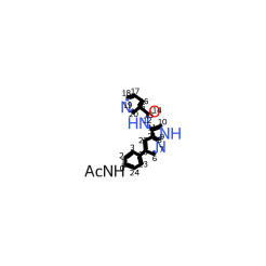 CC(=O)Nc1ccc(-c2cnc3[nH]cc(NC(=O)c4cccnc4)c3c2)cc1